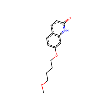 COCCCCOc1ccc2ccc(=O)[nH]c2c1